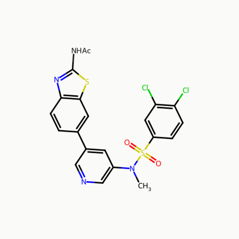 CC(=O)Nc1nc2ccc(-c3cncc(N(C)S(=O)(=O)c4ccc(Cl)c(Cl)c4)c3)cc2s1